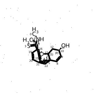 CNC(=S)N1CCC23C=C[C@H](O)C[C@@H]2Oc2c(OC)ccc(c23)C1